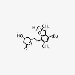 Cc1cc(C(C)(C)C)c2c(c1CC[C@@H]1C[C@@H](O)CC(=O)O1)OC(C)(C)C2